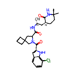 CC1(C)CC[C@@H](C[C@@H](C#N)NC(=O)C2CC3(CCC3)CN2C(=O)c2cc3cccc(Cl)c3[nH]2)C(=O)N1